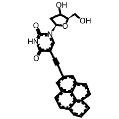 O=c1[nH]c(=O)n([C@H]2CC(O)[C@@H](CO)O2)cc1C#Cc1cc2ccc3cccc4ccc(c1)c2c34